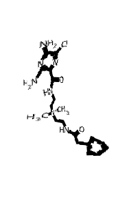 C[N+](C)(CCNC(=O)Cc1ccccc1)CCNC(=O)c1nc(Cl)c(N)nc1N